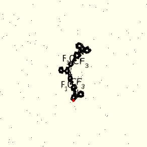 FC(F)(F)C(c1ccc(-c2cc(-c3ccccc3)cc(-c3ccc(C(c4ccc(-n5c6ccccc6c6ccccc65)cc4)(C(F)(F)F)C(F)(F)F)cc3)n2)cc1)(c1ccc(-n2c3ccccc3c3ccccc32)cc1)C(F)(F)F